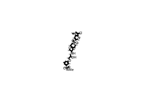 CNS(=O)(=O)c1cccc(OCC(O)CNC2COC3(CCN(S(=O)(=O)c4cnc5c(Cl)cn(C)c5c4)CC3)C2)c1